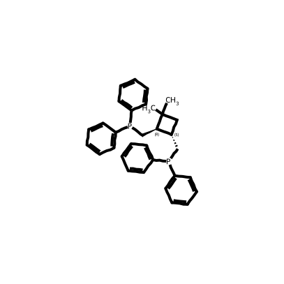 CC1(C)C[C@H](CP(c2ccccc2)c2ccccc2)[C@H]1CP(c1ccccc1)c1ccccc1